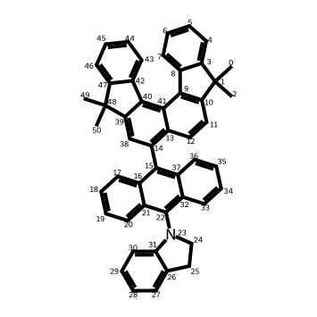 CC1(C)c2ccccc2-c2c1ccc1c(-c3c4ccccc4c(N4CCc5ccccc54)c4ccccc34)cc3c(c21)-c1ccccc1C3(C)C